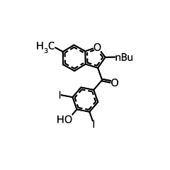 CCCCc1oc2cc(C)ccc2c1C(=O)c1cc(I)c(O)c(I)c1